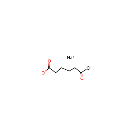 CC(=O)CCCCC(=O)[O-].[Na+]